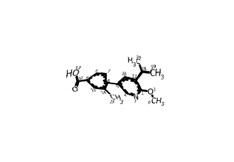 COc1ncc(-c2ccc(C(=O)O)cc2C)cc1C(C)C